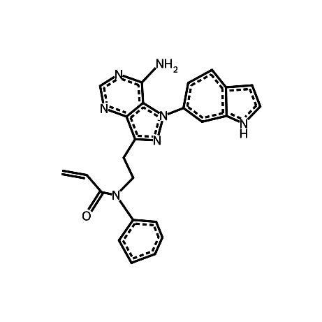 C=CC(=O)N(CCc1nn(-c2ccc3cc[nH]c3c2)c2c(N)ncnc12)c1ccccc1